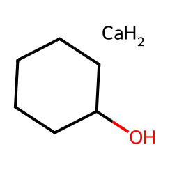 OC1CCCCC1.[CaH2]